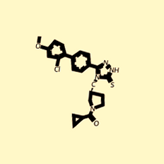 COc1ccc(-c2ccc(-c3n[nH]c(=S)n3C[C@@H]3CCN(C(=O)C4CC4)C3)cc2)c(Cl)c1